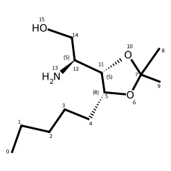 CCCCC[C@H]1OC(C)(C)O[C@H]1[C@@H](N)CO